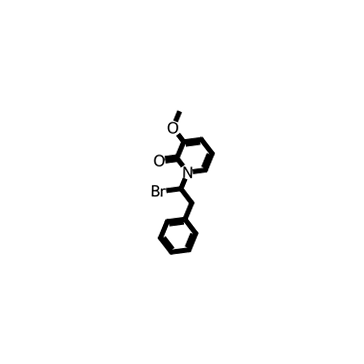 COc1cccn(C(Br)Cc2ccccc2)c1=O